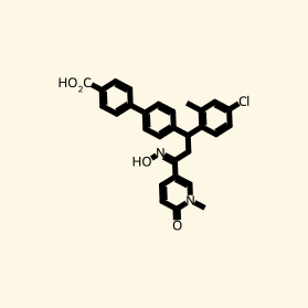 Cc1cc(Cl)ccc1C(CC(=NO)c1ccc(=O)n(C)c1)c1ccc(-c2ccc(C(=O)O)cc2)cc1